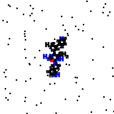 C=C(NC(=O)N1CCC2(CCCNC2)C1)/C(N)=C\C=C(/C)c1cccnc1